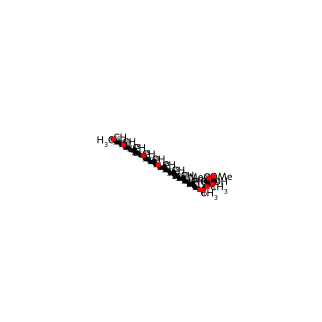 COc1c(O)c(C)c(C/C=C(\C)CC/C=C(\C)CC/C=C(\C)CC/C=C(\C)CC/C=C(\C)CC/C=C(\C)CC/C=C(\C)CC/C=C(\C)CC/C=C(\C)CCC=C(C)C)c(O)c1OC